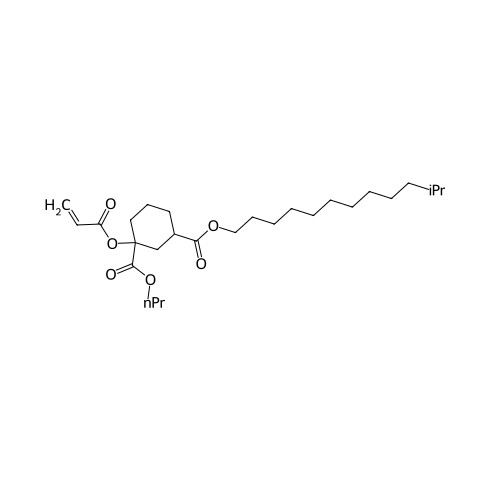 C=CC(=O)OC1(C(=O)OCCC)CCCC(C(=O)OCCCCCCCCCCC(C)C)C1